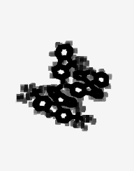 CC(C)(C)c1ccc2c(c1)C1(c3cc(C(C)(C)C)ccc3O2)c2ccccc2-c2c(N(c3ccc4c(c3)C(C)(C)c3ccccc3-4)c3ccc4c(c3)C3(c5ccccc5Sc5ccccc53)c3ccccc3-4)cccc21